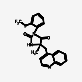 C[C@@]1(Cc2ccnc3ccccc23)NC(=O)N(c2ccccc2SC(F)(F)F)C1=O